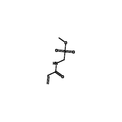 C=CC(=O)NCS(=O)(=O)OC